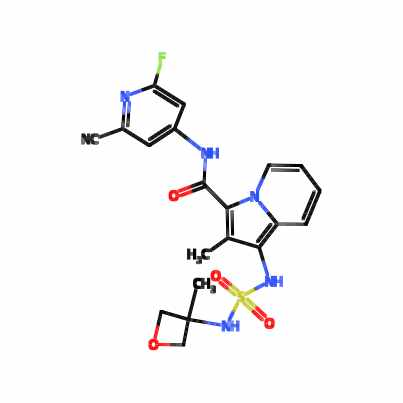 Cc1c(NS(=O)(=O)NC2(C)COC2)c2ccccn2c1C(=O)Nc1cc(F)nc(C#N)c1